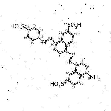 Nc1ccc(/N=N/c2ccc(/N=N/c3ccc(S(=O)(=O)O)cc3)c3cc(S(=O)(=O)O)ccc23)c2cc(S(=O)(=O)O)ccc12